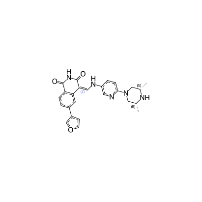 C[C@@H]1CN(c2ccc(N/C=C3\C(=O)NC(=O)c4ccc(-c5ccoc5)cc43)cn2)C[C@H](C)N1